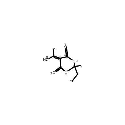 CCC1(C)OC(=O)C(=C(C)O)C(=O)O1